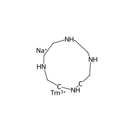 C1CNCCNCCNCCN1.[Na+].[Tm+3]